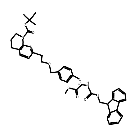 COC(=O)[C@H](Cc1ccc(COCCc2ccc3c(n2)N(C(=O)OC(C)(C)C)CCC3)cc1)NC(=O)OCC1c2ccccc2-c2ccccc21